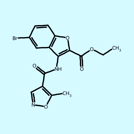 CCOC(=O)c1oc2ccc(Br)cc2c1NC(=O)c1cnoc1C